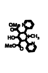 COC(=O)C1=C(O)C(C(=O)OC)C(c2ccccn2)N(C)C1c1ccccn1